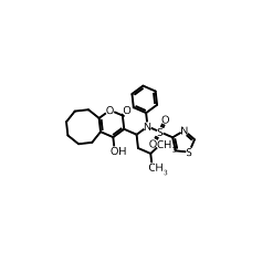 CC(C)CC(c1c(O)c2c(oc1=O)CCCCCC2)N(c1ccccc1)S(=O)(=O)c1cscn1